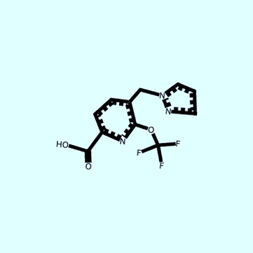 O=C(O)c1ccc(Cn2cccn2)c(OC(F)(F)F)n1